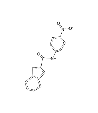 O=C(Nc1ccc([N+](=O)[O-])cc1)n1cc2ccccc2c1